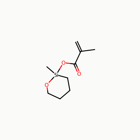 C=C(C)C(=O)O[Si]1(C)CCCCO1